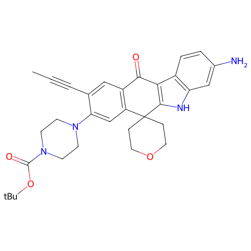 CC#Cc1cc2c(cc1N1CCN(C(=O)OC(C)(C)C)CC1)C1(CCOCC1)c1[nH]c3cc(N)ccc3c1C2=O